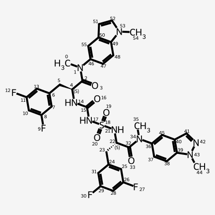 CN(C(=O)[C@H](Cc1cc(F)cc(F)c1)NC(=O)NS(=O)(=O)N[C@@H](Cc1cc(F)cc(F)c1)C(=O)N(C)c1ccc2c(cnn2C)c1)c1ccc2c(ccn2C)c1